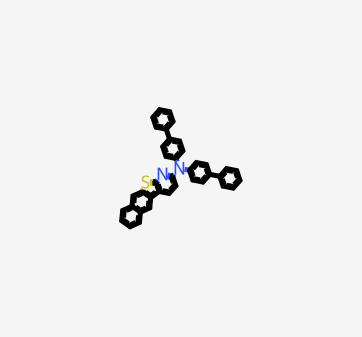 c1ccc(-c2ccc(N(c3ccc(-c4ccccc4)cc3)c3ccc4c(n3)sc3cc5ccccc5cc34)cc2)cc1